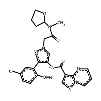 COc1ccc(Cl)cc1-c1nn(CC(=O)N(C)C2CCCO2)cc1NC(=O)c1cnn2cccnc12